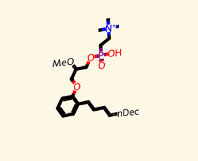 CCCCCCCCCCCCCCc1ccccc1OCC(COP(=O)(O)CC[N+](C)(C)C)OC